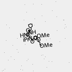 COCCCOc1cc(C(=O)N(C[C@@H]2CNC[C@H]2NC(=O)CC2CCCCC2)C(C)C)ccc1OC